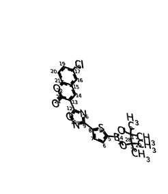 CC1(C)OB(c2ccc(-c3noc(-c4cc5cc(Cl)ccc5oc4=O)n3)s2)OC1(C)C